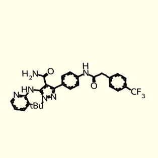 CC(C)(C)n1nc(-c2ccc(NC(=O)Cc3ccc(C(F)(F)F)cc3)cc2)c(C(N)=O)c1Nc1ccccn1